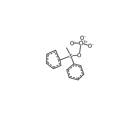 CS(O[Cl+3]([O-])([O-])[O-])(c1ccccc1)c1ccccc1